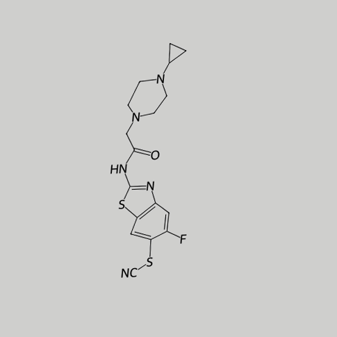 N#CSc1cc2sc(NC(=O)CN3CCN(C4CC4)CC3)nc2cc1F